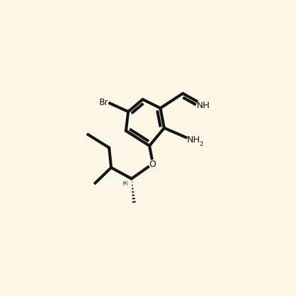 CCC(C)[C@@H](C)Oc1cc(Br)cc(C=N)c1N